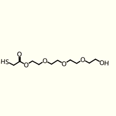 O=C(CS)OCCOCCOCCOCCO